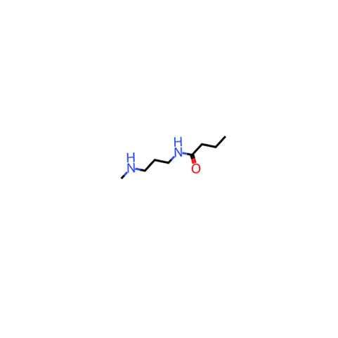 CCCC(=O)NCCCNC